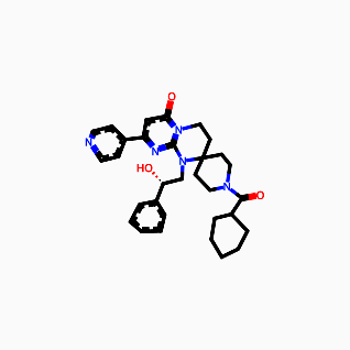 O=C(C1CCCCC1)N1CCC2(CC1)CCn1c(nc(-c3ccncc3)cc1=O)N2C[C@@H](O)c1ccccc1